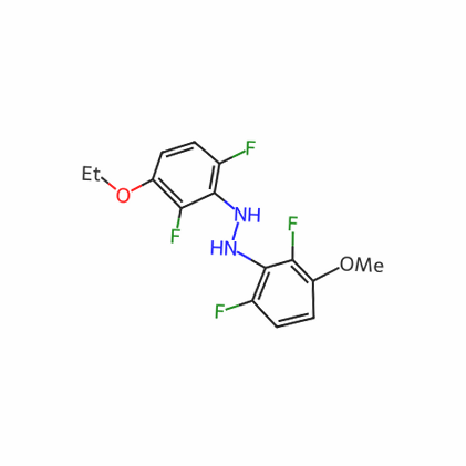 CCOc1ccc(F)c(NNc2c(F)ccc(OC)c2F)c1F